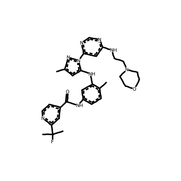 Cc1cc(Nc2cc(NC(=O)c3ccnc(C(C)(C)F)c3)ccc2C)n(-c2cc(NCCN3CCOCC3)ncn2)n1